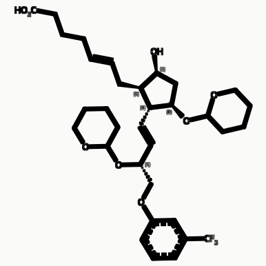 O=C(O)CCCC=CC[C@@H]1[C@@H](C=C[C@H](COc2cccc(C(F)(F)F)c2)OC2CCCCO2)[C@H](OC2CCCCO2)C[C@@H]1O